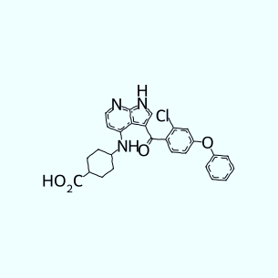 O=C(c1ccc(Oc2ccccc2)cc1Cl)c1c[nH]c2nccc(NC3CCC(C(=O)O)CC3)c12